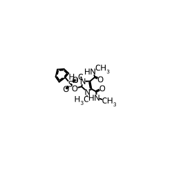 CNC(=O)C1=C(C(=O)NC)N(C)C(OS(=O)(=O)c2ccccc2)N1C